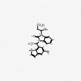 CCCC(CC(=O)OCC)n1c(=O)n(C(C)c2cc(Br)cc3cc[nH]c23)c2ccccc21